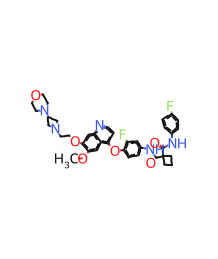 COc1cc2c(Oc3ccc(NC(=O)C4(C(=O)Nc5ccc(F)cc5)CCC4)cc3F)ccnc2cc1OCCN1CC(N2CCOCC2)C1